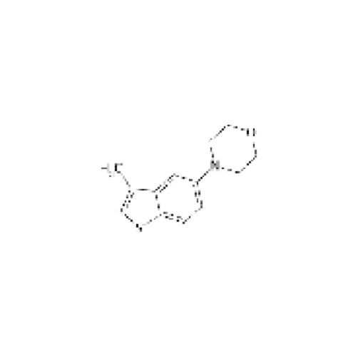 Cc1[c]sc2ccc(N3CCOCC3)cc12